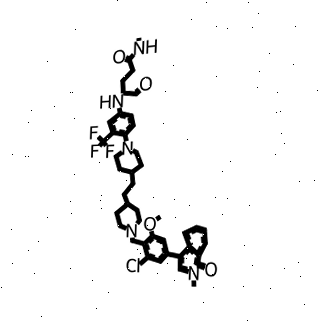 CNC(=O)CCC(C=O)Nc1ccc(N2CCC(CCC3CCN(Cc4c(Cl)cc(-c5cn(C)c(=O)c6ccccc56)cc4OC)CC3)CC2)c(C(F)(F)F)c1